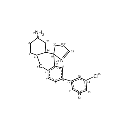 NC1CCC2Oc3ccc(-c4cncc(Cl)c4)cc3C3(CSC=N3)C2C1